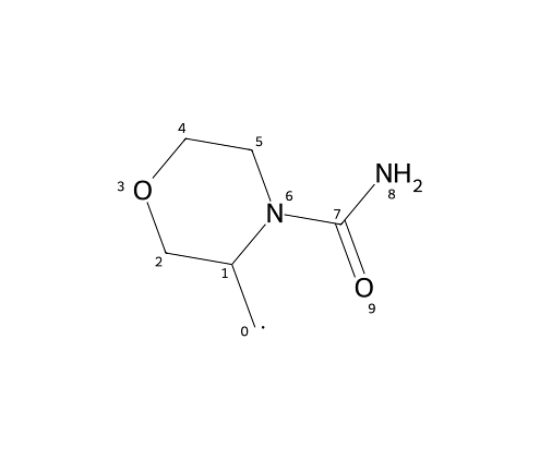 [CH2]C1COCCN1C(N)=O